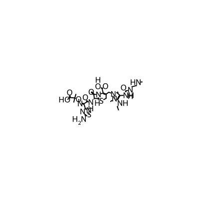 CCNc1c(NC(=O)NCCNC)c[n+](CC2=C(C(=O)O)N3C(=O)[C@@H](NC(=O)/C(=N\OC(C)(C)C(=O)O)c4nsc(N)n4)[C@H]3SC2)n1C